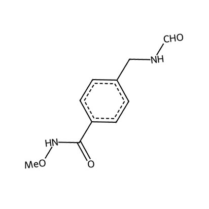 CONC(=O)c1ccc(CNC=O)cc1